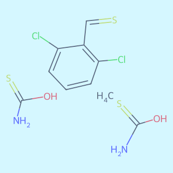 C.NC(O)=S.NC(O)=S.S=Cc1c(Cl)cccc1Cl